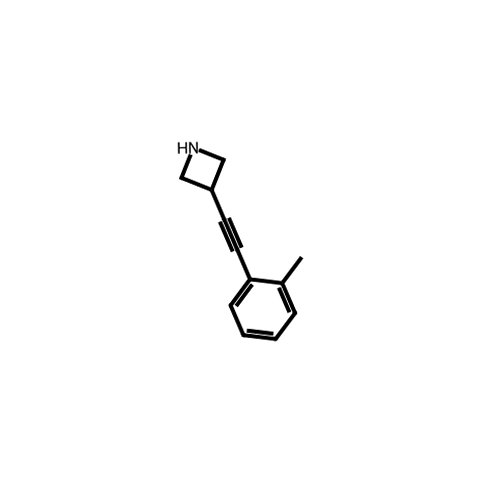 Cc1ccccc1C#CC1CNC1